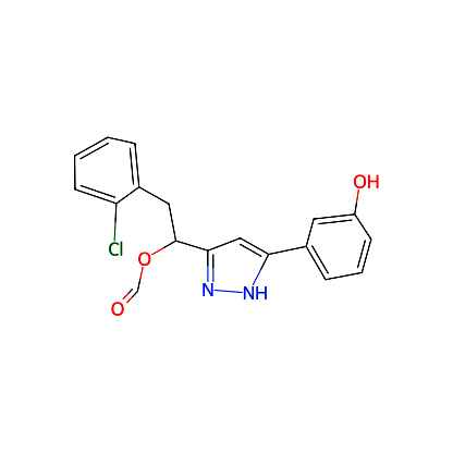 O=COC(Cc1ccccc1Cl)c1cc(-c2cccc(O)c2)[nH]n1